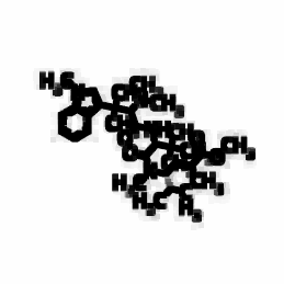 COC(=O)/C(C)=C/[C@H](C(C)C)N(C)C(=O)[C@@H](NC(=O)C(N(C)C)C(C)(C)c1cn(C)c2ccccc12)C(C)(C)C